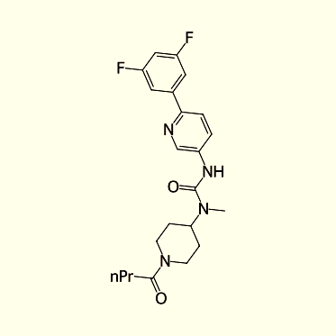 CCCC(=O)N1CCC(N(C)C(=O)Nc2ccc(-c3cc(F)cc(F)c3)nc2)CC1